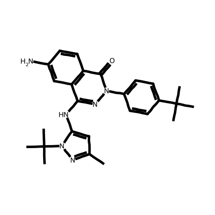 Cc1cc(Nc2nn(-c3ccc(C(C)(C)C)cc3)c(=O)c3ccc(N)cc23)n(C(C)(C)C)n1